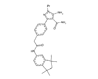 CC(C)n1nc(-c2ccc(CC(=O)Nc3ccc4c(c3)C(C)(C)CC4(C)C)cc2)c(C(N)=O)c1N